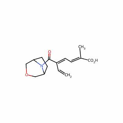 C=C/C(=C\C=C(/C)C(=O)O)C(=O)N1C2CCC1COC2